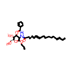 C=CCO[C@H]1O[C@H](CO)[C@@H](O)[C@H](OCc2ccccc2)[C@@H]1NC(=O)CCCCCCCCCCCCCCC